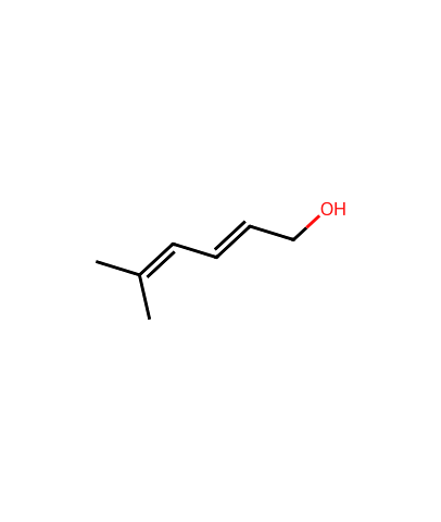 CC(C)=CC=CCO